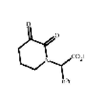 CCCC(C(=O)O)N1CCCC(=O)C1=O